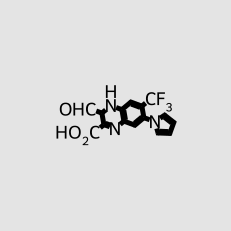 O=CC1Nc2cc(C(F)(F)F)c(-n3cccc3)cc2N=C1C(=O)O